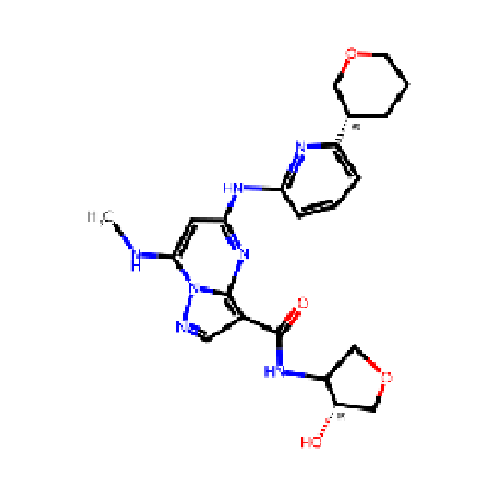 CNc1cc(Nc2cccc([C@H]3CCCOC3)n2)nc2c(C(=O)NC3COC[C@@H]3O)cnn12